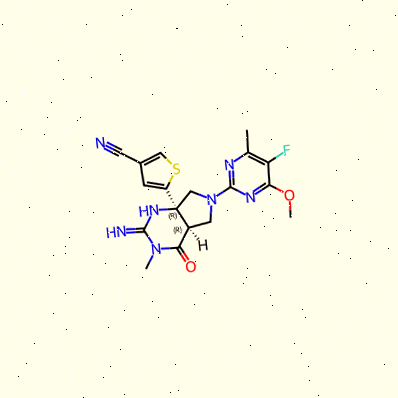 COc1nc(N2C[C@H]3C(=O)N(C)C(=N)N[C@@]3(c3cc(C#N)cs3)C2)nc(C)c1F